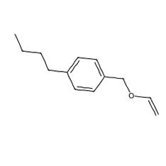 C=COCc1ccc(CCCC)cc1